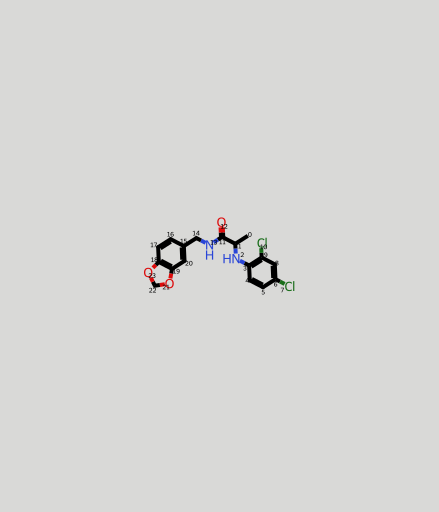 CC(Nc1ccc(Cl)cc1Cl)C(=O)NCc1ccc2c(c1)OCO2